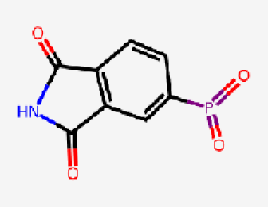 O=C1NC(=O)c2cc(P(=O)=O)ccc21